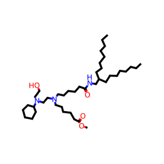 CCCCCCCCC(CCCCCCCC)CNC(=O)CCCCCN(CCCCCC(=O)OC)CCN(CCO)C1CCCCC1